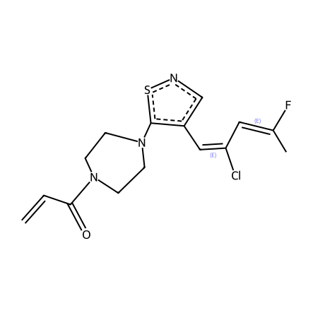 C=CC(=O)N1CCN(c2sncc2/C=C(Cl)\C=C(/C)F)CC1